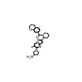 Cc1cn2nc([C@@H]3CCCCN3C(=O)c3ccc4c(c3)OCCC4)cc2nc1N1CC[C@H](N)C1